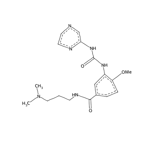 COc1ccc(C(=O)NCCCN(C)C)cc1NC(=O)Nc1cnccn1